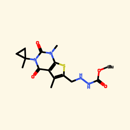 Cc1c(CNNC(=O)OC(C)(C)C)sc2c1c(=O)n(C1(C)CC1)c(=O)n2C